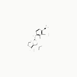 Cc1c(N=C2O[C@H](C(C)C)C3=C(O)CCN23)ccc(C#N)c1Cl